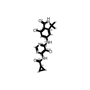 CC1(C)NC(=O)c2c(Cl)cc(Nc3ncnc(NC(=O)C4CC4)c3Cl)cc21